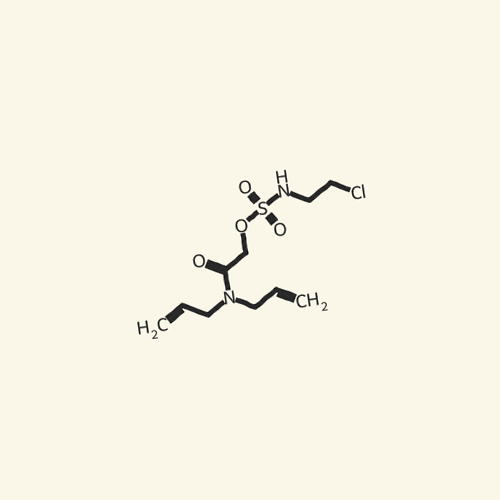 C=CCN(CC=C)C(=O)COS(=O)(=O)NCCCl